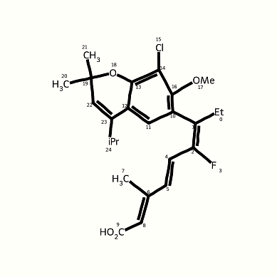 CC/C(=C(F)/C=C/C(C)=C/C(=O)O)c1cc2c(c(Cl)c1OC)OC(C)(C)C=C2C(C)C